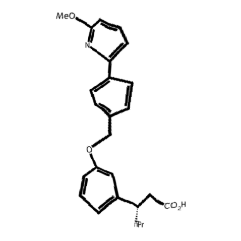 CCC[C@@H](CC(=O)O)c1cccc(OCc2ccc(-c3cccc(OC)n3)cc2)c1